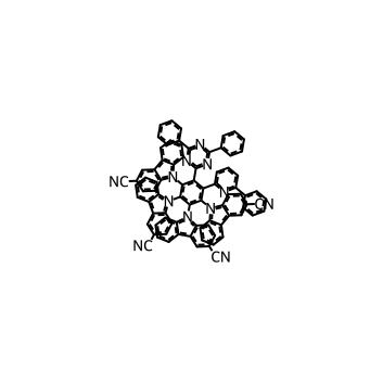 N#Cc1ccc2c(c1)c1ccccc1n2-c1c(-c2cccc(-c3ccccc3)n2)c(-c2nc(-c3ccccc3)nc(-c3ccccc3)n2)c(-n2c3ccccc3c3cc(C#N)ccc32)c(-n2c3ccccc3c3cc(C#N)ccc32)c1-n1c2ccccc2c2cc(C#N)ccc21